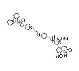 CC(C)(C)[Si](C)(C)O[C@H](CNCCc1ccc(OCCCN2CCC(OC(=O)Nc3ccccc3-c3ccccc3)CC2)cc1)c1ccc(O)c2[nH]c(=O)ccc12